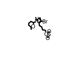 CC1CCCC(n2ncc(Br)c2CCCCOS(C)(=O)=O)O1